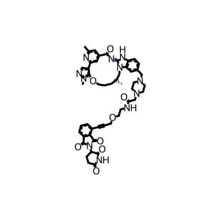 Cc1cc2cc(n1)-c1cnn(C)c1OCCC[C@@H](C)CN1/C(=N/C2=O)Nc2ccc(CN3CCN(CC(=O)NCCOCC#Cc4cccc5c4C(=O)N(C4CCC(=O)NC4=O)C5=O)CC3)cc21